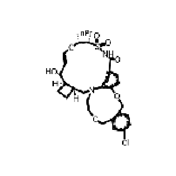 CCC[C@H]1[C@@H](C)C/C=C/[C@H](O)[C@@H]2CC[C@H]2CN2CCCCc3cc(Cl)ccc3COc3ccc(cc32)C(=O)NS1(=O)=O